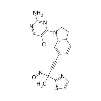 CC(C#Cc1ccc2c(c1)N(c1nc(N)ncc1Cl)CC2)(N=O)c1nccs1